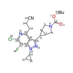 CC(C)(C)OC(=O)N1CC2C(C1)C2c1nn(C2CC2)c2c(F)c(Cl)nc(CCC#N)c12